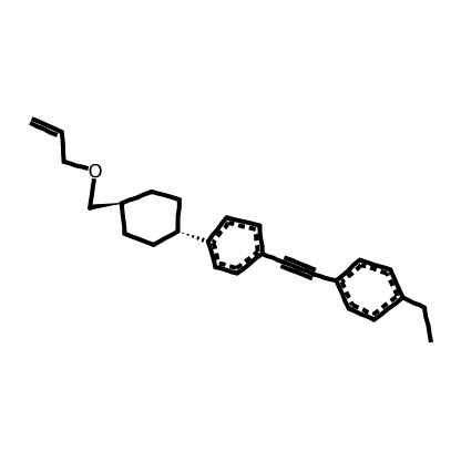 C=CCOC[C@H]1CC[C@H](c2ccc(C#Cc3ccc(CC)cc3)cc2)CC1